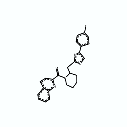 O=C(c1ccc2ccccc2n1)N1CCCCC1Cc1nc(-c2ccc(F)cc2)co1